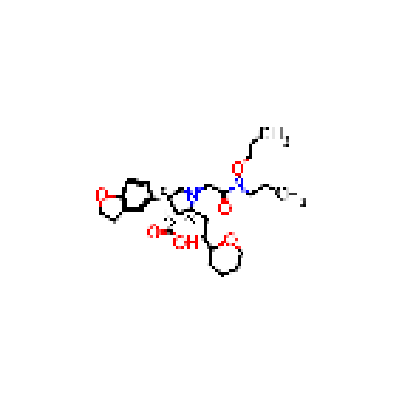 CCCON(CCC)C(=O)CN1C[C@H](c2ccc3c(c2)CCO3)[C@@H](C(=O)O)[C@@H]1CCC1CCCCO1